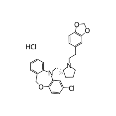 Cl.Clc1ccc2c(c1)N(C[C@H]1CCCN1CCc1ccc3c(c1)OCO3)c1ccccc1CO2